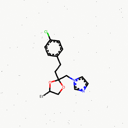 CCC1COC(CCc2ccc(Cl)cc2)(Cn2ccnc2)O1